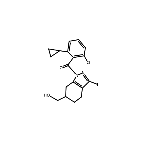 O=C(c1c(Cl)cccc1C1CC1)n1nc(I)c2c1CC(CO)CC2